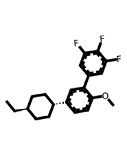 CC[C@H]1CC[C@H](c2ccc(OC)c(-c3cc(F)c(F)c(F)c3)c2)CC1